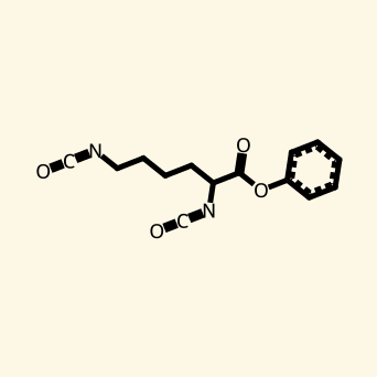 O=C=NCCCCC(N=C=O)C(=O)Oc1ccccc1